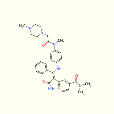 CN1CCN(CC(=O)N(C)c2ccc(NC(=C3C(=O)Nc4ccc(C(=O)N(C)C)cc43)c3ccccc3)cc2)CC1